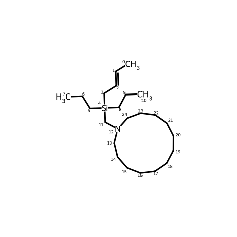 C/C=C/C[Si](CCC)(CCC)CN1CCCCCCCCCCCC1